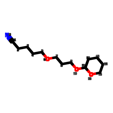 N#CCCCCOCCCOC1CCCCO1